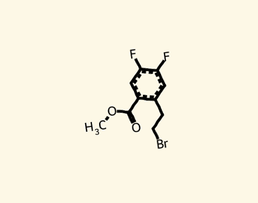 COC(=O)c1cc(F)c(F)cc1CCBr